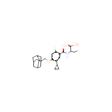 CCC(NC(=O)c1cc(C2CC2)c(OCC23CC4CC(CC(C4)C2)C3)cc1F)C(=O)O